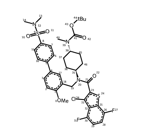 COc1ccc(-c2ccc(S(=O)(=O)N(C)C)cc2)cc1CN(C(=O)c1sc2c(F)ccc(F)c2c1Cl)[C@H]1CC[C@H](N(C)C(=O)OC(C)(C)C)CC1